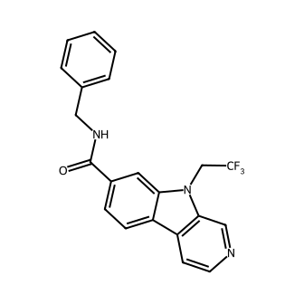 O=C(NCc1ccccc1)c1ccc2c3ccncc3n(CC(F)(F)F)c2c1